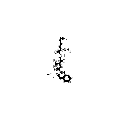 NCCC[C@H](N)C(=O)NCC(=O)C(CC(=O)N[C@@H](Cc1ccccc1)C(=O)O)C(F)F